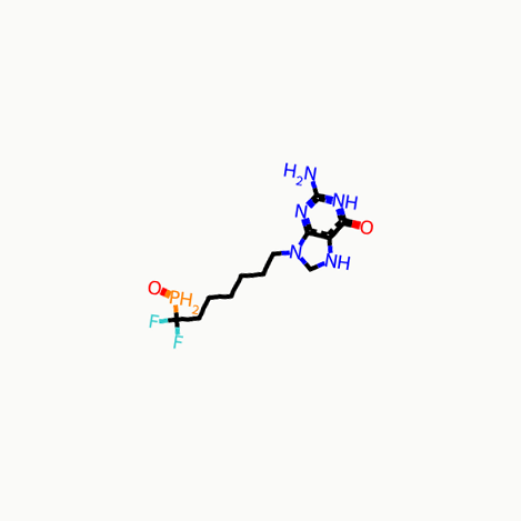 Nc1nc2c(c(=O)[nH]1)NCN2CCCCCCC(F)(F)[PH2]=O